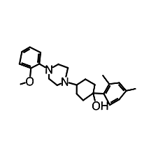 COc1ccccc1N1CCN(C2CCC(O)(c3ccc(C)cc3C)CC2)CC1